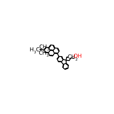 C=CC1(CCCO)c2ccccc2-c2ccc(-c3ccc4ccc5cc(C(C)(C)C)cc6ccc3c4c56)cc21